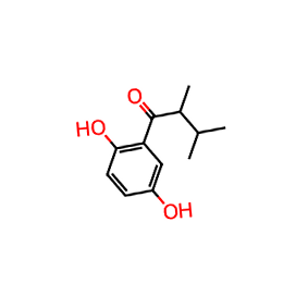 CC(C)C(C)C(=O)c1cc(O)ccc1O